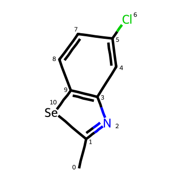 Cc1nc2cc(Cl)ccc2[se]1